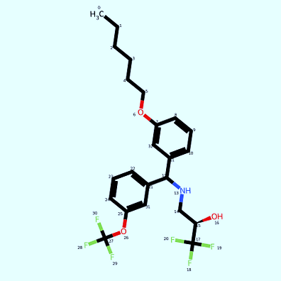 CCCCCCOc1cccc(C(NC[C@@H](O)C(F)(F)F)c2cccc(OC(F)(F)F)c2)c1